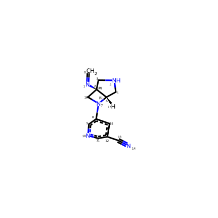 C=N[C@@]12CNC[C@@H]1N(c1cncc(C#N)c1)C2